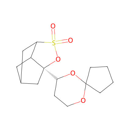 O=S1(=O)O[C@@]2(C3CCOC4(CCCC4)O3)CC3CC2C1C3